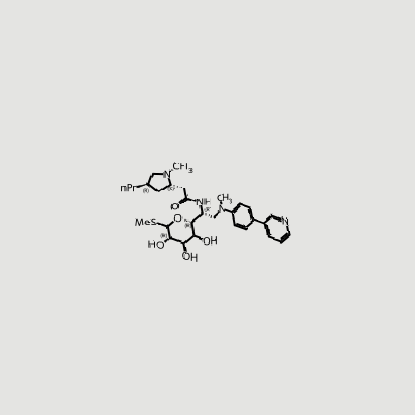 CCC[C@@H]1C[C@@H](CC(=O)N[C@H](CN(C)c2ccc(-c3cccnc3)cc2)[C@H]2OC(SC)[C@H](O)C(O)C2O)N(C)C1